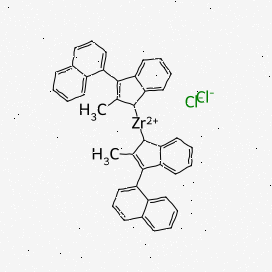 CC1=C(c2cccc3ccccc23)c2ccccc2[CH]1[Zr+2][CH]1C(C)=C(c2cccc3ccccc23)c2ccccc21.[Cl-].[Cl-]